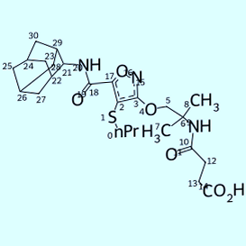 CCCSc1c(OCC(C)(C)NC(=O)CCC(=O)O)noc1C(=O)NC1C2CC3CC(C2)CC1C3